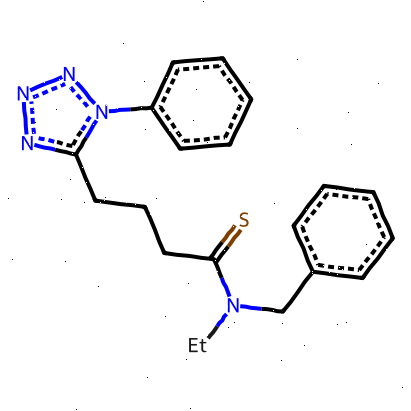 CCN(Cc1ccccc1)C(=S)CCCc1nnnn1-c1ccccc1